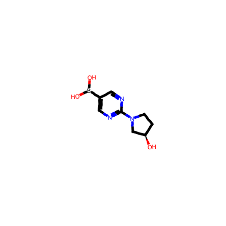 OB(O)c1cnc(N2CC[C@@H](O)C2)nc1